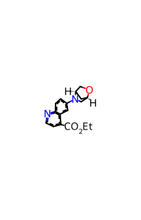 CCOC(=O)c1ccnc2ccc(N3C[C@H]4C[C@@H]3CO4)cc12